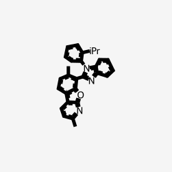 Cc1ccc2c(n1)oc1c(-c3nc4ccccc4n3-c3ccccc3C(C)C)c(C)ccc12